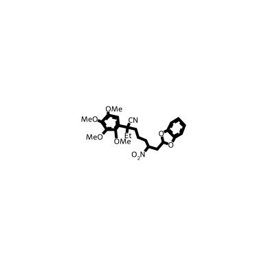 CCC(C#N)(CCCC(CC1Oc2ccccc2O1)[N+](=O)[O-])c1cc(OC)c(OC)c(OC)c1OC